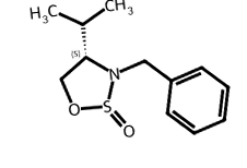 CC(C)[C@H]1COS(=O)N1Cc1ccccc1